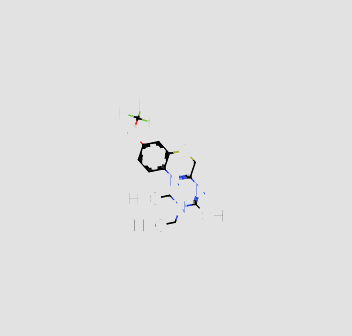 CCN(CC)C(C)=NC1=Nc2ccc(OC(F)(F)F)cc2SC1